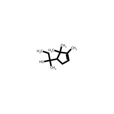 CCC(C)(O)C1CC=C(C)C1(C)C